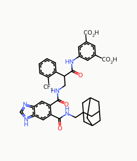 O=C(O)c1cc(NC(=O)C(CNC(=O)c2cc3nc[nH]c3cc2C(=O)NCC23CC4CC(CC(C4)C2)C3)c2ccccc2C(F)(F)F)cc(C(=O)O)c1